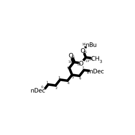 CCCCCCCCCCCCCCC(CCCCCCCCCCCC)CC(=O)OC(C)OCCCC